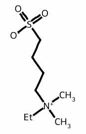 CC[N+](C)(C)CCCCS(=O)(=O)[O-]